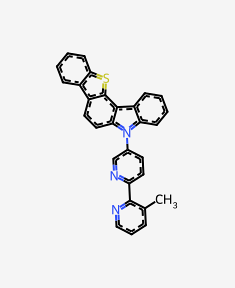 Cc1cccnc1-c1ccc(-n2c3ccccc3c3c4sc5ccccc5c4ccc32)cn1